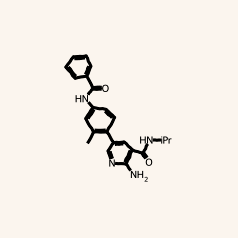 Cc1cc(NC(=O)c2ccccc2)ccc1-c1cnc(N)c(C(=O)NC(C)C)c1